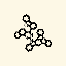 c1ccc2c(c1)ccc1c(-c3cccc4c3oc3ccccc34)nc(-n3c4ccccc4c4cc5c6ccccc6n6c7ccccc7c(c43)c56)nc12